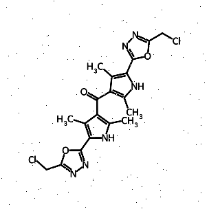 Cc1[nH]c(-c2nnc(CCl)o2)c(C)c1C(=O)c1c(C)[nH]c(-c2nnc(CCl)o2)c1C